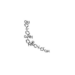 Cc1cc(C(C)(C)c2ccc(NC(=O)c3cccc(C(=O)Nc4ccc(C(C)(C)c5ccc(O)c(C)c5)cc4)c3)cc2)ccc1O